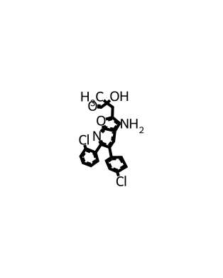 CC(O)(C=O)Cc1oc2nc(-c3ccccc3Cl)c(-c3ccc(Cl)cc3)cc2c1N